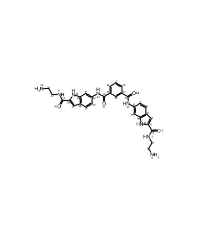 NCCNC(=O)c1cc2ccc(NC(=O)c3cccc(C(=O)Nc4ccc5cc(C(=O)NCCN)[nH]c5c4)c3)cc2[nH]1